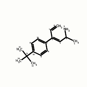 C=C/C(=C\C(C)N)c1ccc(C(C)(C)C)cc1